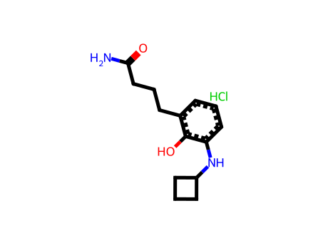 Cl.NC(=O)CCCc1cccc(NC2CCC2)c1O